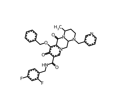 CC1CCN(Cc2cccnc2)C2Cn3cc(C(=O)NCc4ccc(F)cc4F)c(=O)c(OCc4ccccc4)c3C(=O)N12